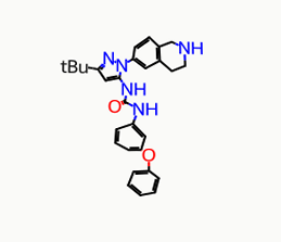 CC(C)(C)c1cc(NC(=O)Nc2cccc(Oc3ccccc3)c2)n(-c2ccc3c(c2)CCNC3)n1